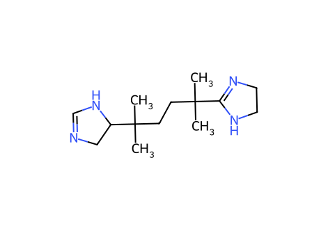 CC(C)(CCC(C)(C)C1CN=CN1)C1=NCCN1